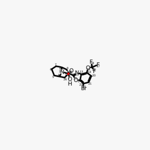 O=C(O)N1C2CCCC1CN(c1nc3c(OC(F)(F)F)ccc(Br)c3o1)C2